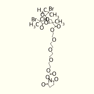 CC(C)(Br)C(=O)OCC(C)(COC(=O)C(C)(C)Br)C(=O)OCCOCCOCCOCCOC(=O)ON1C(=O)CCC1=O